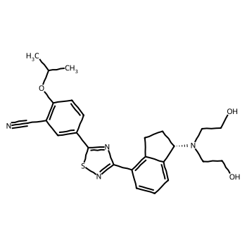 CC(C)Oc1ccc(-c2nc(-c3cccc4c3CC[C@@H]4N(CCO)CCO)ns2)cc1C#N